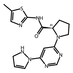 Cc1cnc(NC(=O)[C@H]2CCCN2c2cc(N3C=CCN3)ncn2)s1